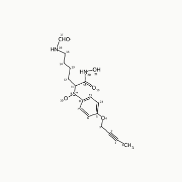 CC#CCOc1ccc([S+]([O-])C(CCCCN[C]=O)C(=O)NO)cc1